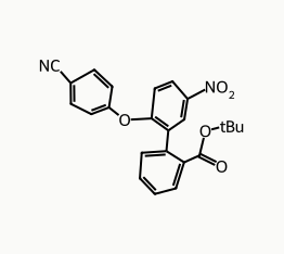 CC(C)(C)OC(=O)c1ccccc1-c1cc([N+](=O)[O-])ccc1Oc1ccc(C#N)cc1